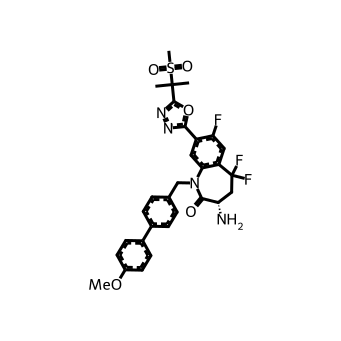 COc1ccc(-c2ccc(CN3C(=O)[C@@H](N)CC(F)(F)c4cc(F)c(-c5nnc(C(C)(C)S(C)(=O)=O)o5)cc43)cc2)cc1